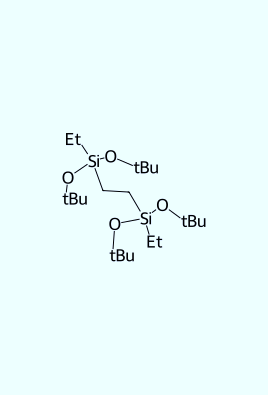 CC[Si](CC[Si](CC)(OC(C)(C)C)OC(C)(C)C)(OC(C)(C)C)OC(C)(C)C